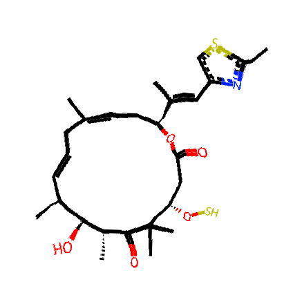 C/C1=C/C[C@@H](/C(C)=C/c2csc(C)n2)OC(=O)C[C@H](OS)C(C)(C)C(=O)[C@H](C)[C@@H](O)[C@@H](C)/C=C/C1